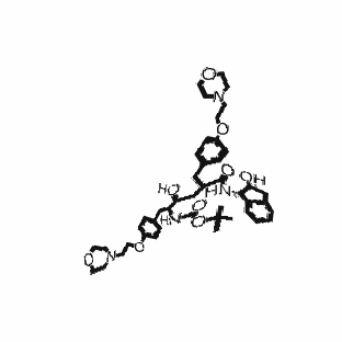 CC(C)(C)OC(=O)NC(Cc1ccc(OCCN2CCOCC2)cc1)C(O)CC(Cc1ccc(OCCN2CCOCC2)cc1)C(=O)N[C@H]1c2ccccc2C[C@@H]1O